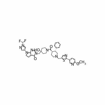 COc1ccc(-c2ncc(CN3CC[C@@H](C(=O)N4CCC(O)(Cn5cnc6c(ccn6-c6cnn(C(F)F)c6)c5=O)CC4)[C@H](c4ccccc4)C3)s2)cn1